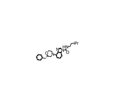 CC(C)CCNC(=O)n1cnc2c(N3CCO[C@@H](Cc4ccccc4)C3)cccc21